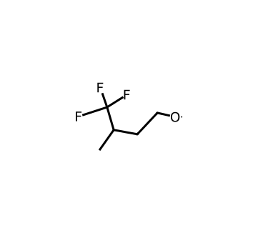 CC(CC[O])C(F)(F)F